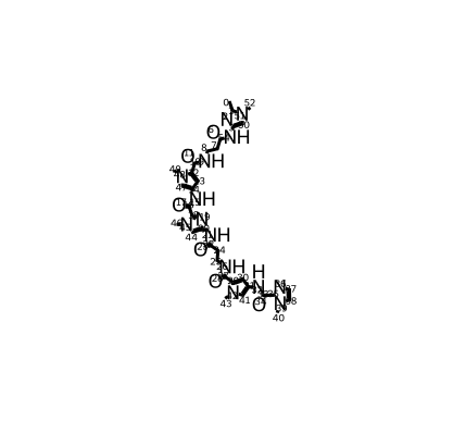 Cc1nc(NC(=O)CCNC(=O)c2cc(NC(=O)c3nc(NC(=O)CCNC(=O)c4cc(NC(=O)c5nccn5C)cn4C)cn3C)cn2C)cn1C